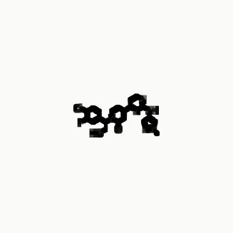 Cn1cc(Nc2nccc(-c3ccn([C@H](CO)c4ccc(Cl)c(F)c4)c(=O)c3)n2)cn1